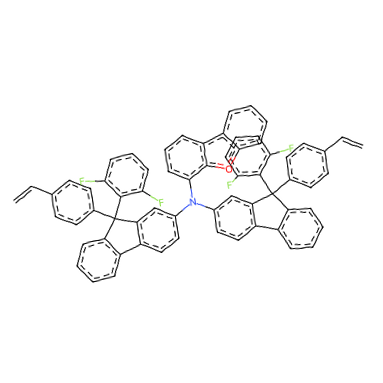 C=Cc1ccc(C2(c3c(F)cccc3F)c3ccccc3-c3ccc(N(c4ccc5c(c4)C(c4ccc(C=C)cc4)(c4c(F)cccc4F)c4ccccc4-5)c4cccc5c4oc4ccccc45)cc32)cc1